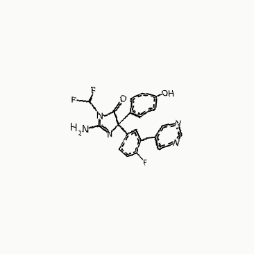 NC1=NC(c2ccc(O)cc2)(c2ccc(F)c(-c3cncnc3)c2)C(=O)N1C(F)F